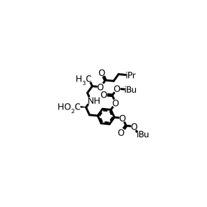 CCC(C)OC(=O)Oc1ccc(C[C@H](NCC(C)OC(=O)CCC(C)C)C(=O)O)cc1OC(=O)OC(C)CC